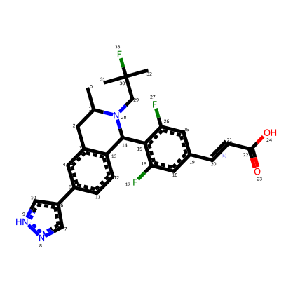 CC1Cc2cc(-c3cn[nH]c3)ccc2C(c2c(F)cc(/C=C/C(=O)O)cc2F)N1CC(C)(C)F